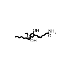 CCCCCC/C=C(/O)[C@@]1(OCC)CC(C/C=C\CCCC(N)=O)[C@H](O)C1